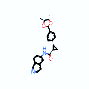 C[C@@H]1OC(c2ccc([C@@H]3C[C@H]3C(=O)Nc3ccc4cnccc4c3)cc2)O[C@H]1C